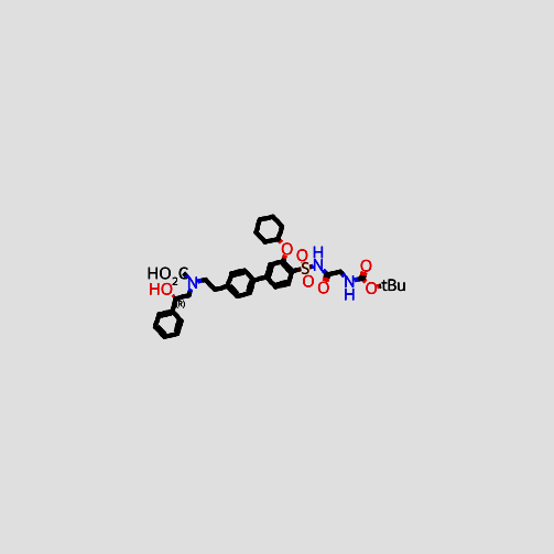 CC(C)(C)OC(=O)NCC(=O)NS(=O)(=O)c1ccc(-c2ccc(CCN(C[C@H](O)c3ccccc3)C(=O)O)cc2)cc1OC1CCCCC1